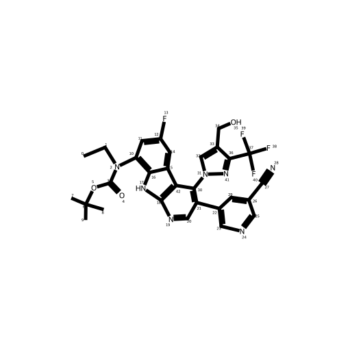 CCN(C(=O)OC(C)(C)C)c1cc(F)cc2c1[nH]c1ncc(-c3cncc(C#N)c3)c(-n3cc(CO)c(C(F)(F)F)n3)c12